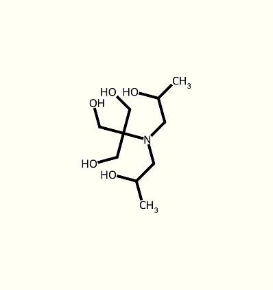 CC(O)CN(CC(C)O)C(CO)(CO)CO